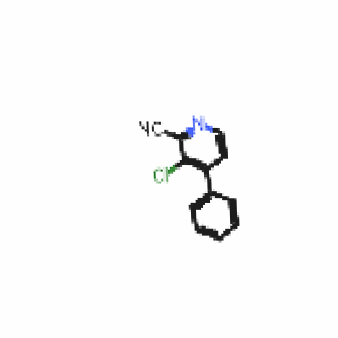 N#Cc1nccc(-c2ccccc2)c1Cl